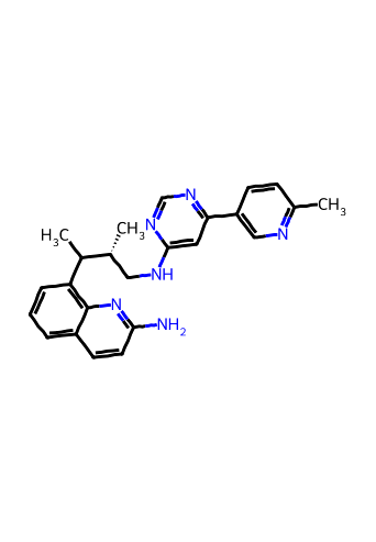 Cc1ccc(-c2cc(NC[C@@H](C)C(C)c3cccc4ccc(N)nc34)ncn2)cn1